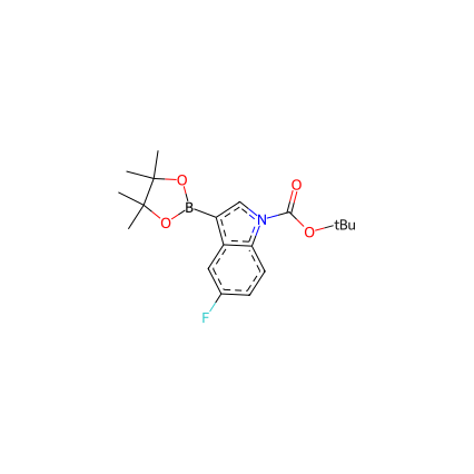 CC(C)(C)OC(=O)n1cc(B2OC(C)(C)C(C)(C)O2)c2cc(F)ccc21